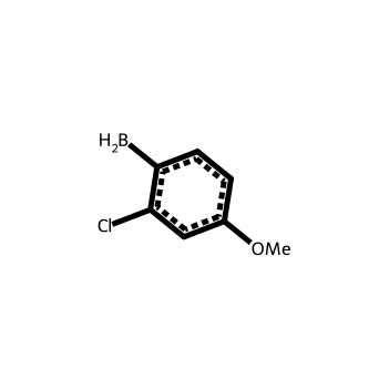 Bc1ccc(OC)cc1Cl